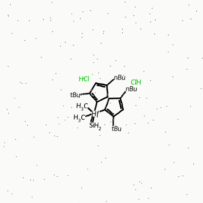 CCCCC1=CC(C(C)(C)C)=[C]([Hf]([CH3])([CH3])(=[SiH2])[C]2=C(C(C)(C)C)C=C(CCCC)C2)C1.Cl.Cl